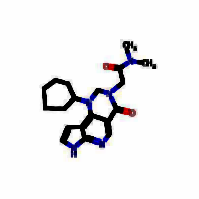 CN(C)C(=O)CN1CN(C2CCCCC2)c2c(cnc3[nH]ccc23)C1=O